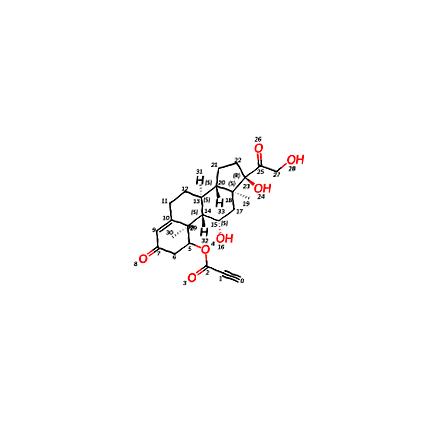 C#CC(=O)OC1CC(=O)C=C2CC[C@@H]3[C@H]([C@@H](O)C[C@@]4(C)[C@H]3CC[C@]4(O)C(=O)CO)[C@]21C